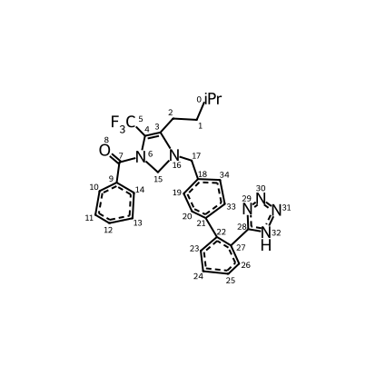 CC(C)CCC1=C(C(F)(F)F)N(C(=O)c2ccccc2)CN1Cc1ccc(-c2ccccc2-c2nnn[nH]2)cc1